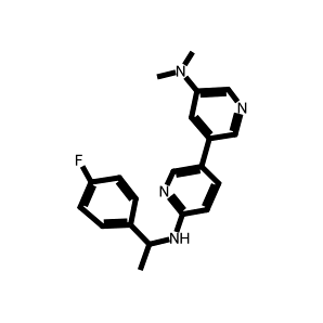 CC(Nc1ccc(-c2cncc(N(C)C)c2)cn1)c1ccc(F)cc1